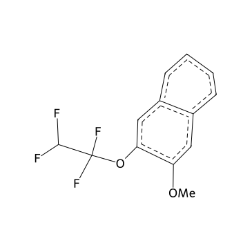 COc1cc2ccccc2cc1OC(F)(F)C(F)F